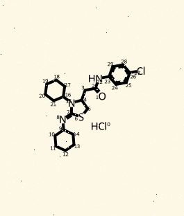 Cl.O=C(CC1CSC(=NC2CCCCC2)N1C1CCCCC1)Nc1ccc(Cl)cc1